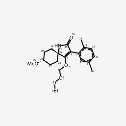 CCOOCOC1=C(c2cc(C)ccc2C)C(=O)N[C@]12CC[C@@H](OC)CC2